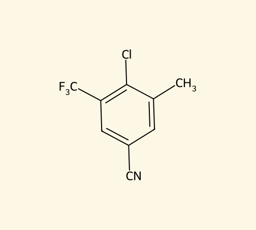 Cc1cc(C#N)cc(C(F)(F)F)c1Cl